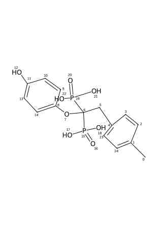 Cc1ccc(CC(Oc2ccc(O)cc2)(P(=O)(O)O)P(=O)(O)O)cc1